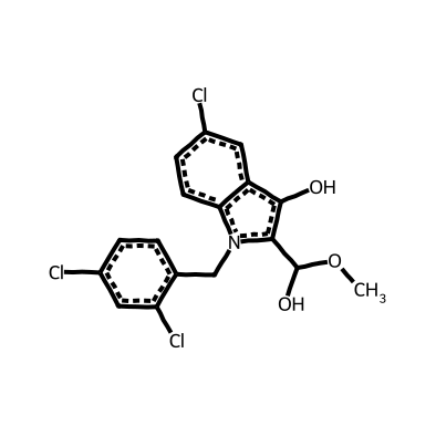 COC(O)c1c(O)c2cc(Cl)ccc2n1Cc1ccc(Cl)cc1Cl